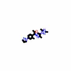 Cc1nc(C)n(-c2c(C)nn3c(-c4ccc(-n5cccn5)cc4C)c(C)oc23)n1